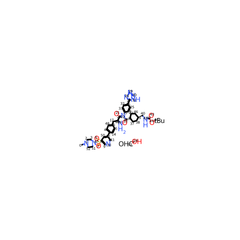 CN1CCN(S(=O)(=O)c2cncc(-c3ccc(C[C@H](N)C(=O)N(c4ccc(-c5nnn[nH]5)cc4)C(=O)[C@H]4CC[C@H](CNC(=O)OC(C)(C)C)CC4)cc3)c2)CC1.O=CO